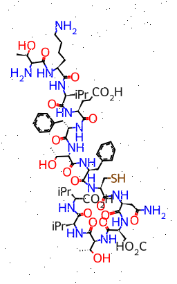 CC(C)[C@H](NC(=O)[C@@H](NC(=O)[C@@H](NC(=O)[C@H](CC(=O)O)NC(=O)[C@H](CC(N)=O)NC(=O)[C@H](CS)NC(=O)[C@H](Cc1ccccc1)NC(=O)[C@@H](NC(=O)[C@H](Cc1ccccc1)NC(=O)[C@H](CCC(=O)O)NC(=O)[C@@H](NC(=O)[C@H](CCCCN)NC(=O)[C@@H](N)[C@@H](C)O)C(C)C)[C@@H](C)O)[C@@H](C)O)C(C)C)C(=O)O